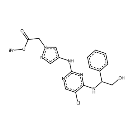 CC(C)OC(=O)Cn1cc(Nc2ncc(Cl)c(NC(CO)c3ccccc3)n2)cn1